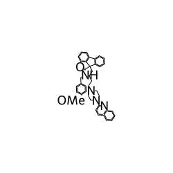 COc1ccc(CNC(=O)C2(CCCCN3CCN(c4ccc5ccccc5n4)CC3)c3ccccc3-c3ccccc32)cc1